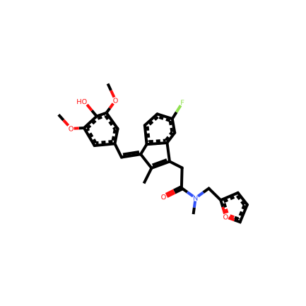 COc1cc(/C=C2/C(C)=C(CC(=O)N(C)Cc3ccco3)c3cc(F)ccc32)cc(OC)c1O